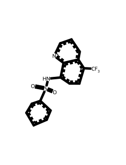 O=S(=O)(Nc1ccc(C(F)(F)F)c2cccnc12)c1ccccc1